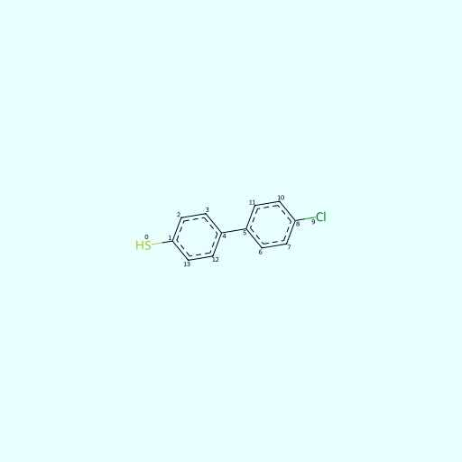 Sc1ccc(-c2ccc(Cl)cc2)cc1